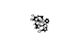 COc1ccccc1N(C[C@H]1CCC(=O)O1)C(=O)Cc1noc(CN2C(=O)C(=O)N(CC3CC3)C2=O)n1